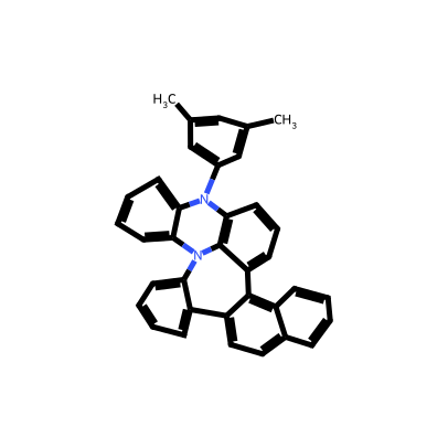 Cc1cc(C)cc(N2c3ccccc3N3c4ccccc4-c4ccc5ccccc5c4-c4cccc2c43)c1